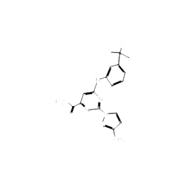 CC(=O)c1cc(Nc2cccc(C(F)(F)F)c2)nc(-n2ccc(C)n2)n1